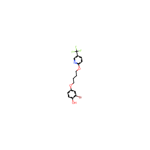 Oc1ccc(OCCCCOc2ccc(C(F)(F)F)cn2)cc1Br